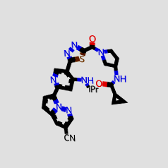 CC(C)Nc1cc(-c2ccc3cc(C#N)cnn23)ncc1-c1nnc(C(=O)N2CCC(NC(=O)C3CC3)C2)s1